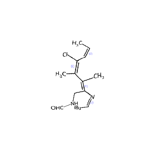 C\C=C/C(Cl)=C(C)\C(C)=C(CNC=O)\N=C/C(C)CC